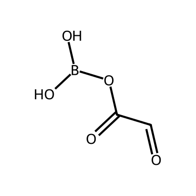 O=CC(=O)OB(O)O